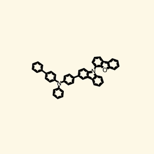 c1ccc(-c2ccc(N(c3ccccc3)c3ccc(-c4ccc5c(c4)c4ccccc4n5-c4cccc5c4oc4ccccc45)cc3)cc2)cc1